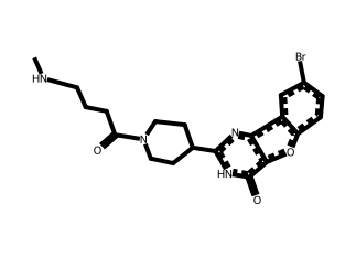 CNCCCC(=O)N1CCC(c2nc3c(oc4ccc(Br)cc43)c(=O)[nH]2)CC1